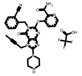 CC#CCn1c(N2CCNCC2)nc2nc(Oc3cccnc3C(N)=O)n(Cc3ccccc3C#N)c(=O)c21.O=C(O)C(F)(F)F